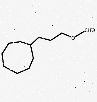 O=COCCCC1CCCCCCC1